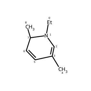 CCN1C=C(C)C=CC1C